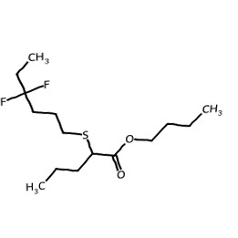 CCCCOC(=O)C(CCC)SCCCC(F)(F)CC